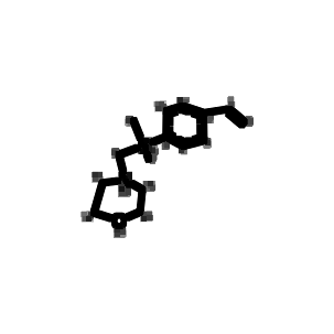 C=Cc1ccc([Si](C)(C)CN2CCOCC2)cc1